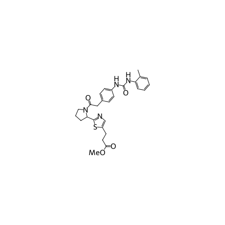 COC(=O)CCc1cnc(C2CCCN2C(=O)Cc2ccc(NC(=O)Nc3ccccc3C)cc2)s1